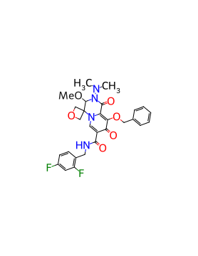 COC1N(N(C)C)C(=O)c2c(OCc3ccccc3)c(=O)c(C(=O)NCc3ccc(F)cc3F)cn2C12COC2